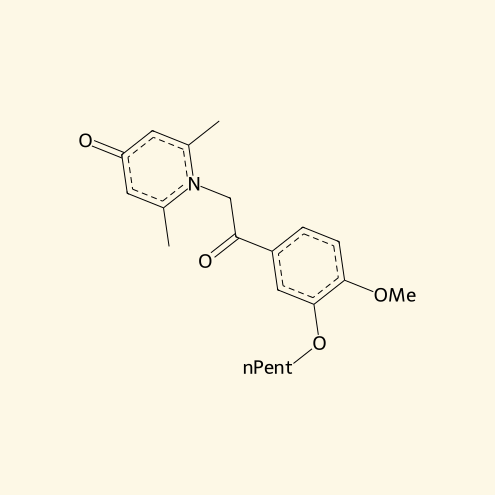 CCCCCOc1cc(C(=O)Cn2c(C)cc(=O)cc2C)ccc1OC